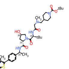 Cc1ncsc1-c1ccc([C@H](C)NC(=O)[C@@H]2C[C@@H](O)CN2C(=O)[C@@H](NC(=O)CN(C)CC2CCN(C(=O)OC(C)(C)C)CC2)C(C)(C)C)cc1